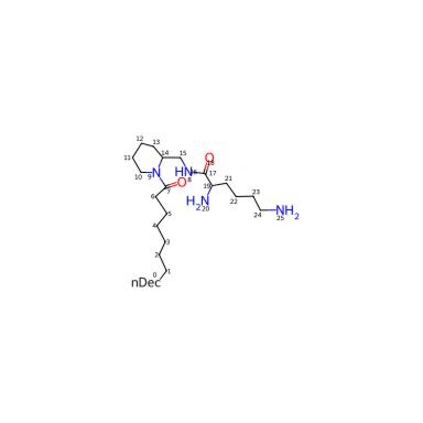 CCCCCCCCCCCCCCCCC(=O)N1CCCCC1CNC(=O)C(N)CCCCN